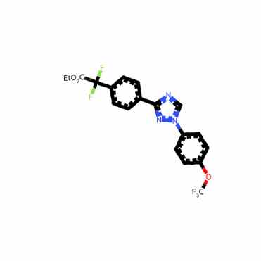 CCOC(=O)C(F)(F)c1ccc(-c2ncn(-c3ccc(OC(F)(F)F)cc3)n2)cc1